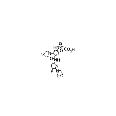 C[C@@H]1CN(c2nc(NC(=O)c3ccc(NS(=O)(=O)CC(=O)O)cc3N3CCC4(CC3)CC4)ccc2F)CCO1